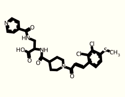 CSc1ccc(C=CC(=O)N2CCC(C(=O)NC(CNC(=O)c3ccncc3)C(=O)O)CC2)c(Cl)c1Cl